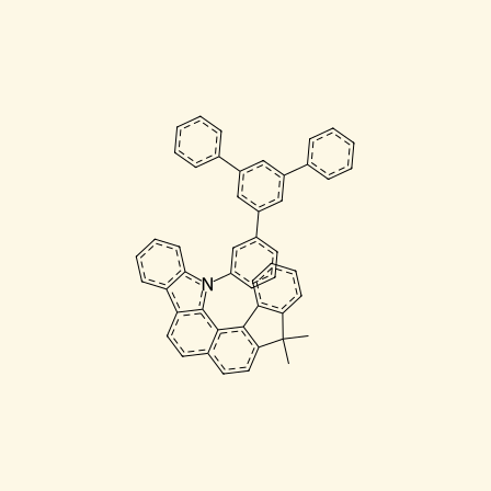 CC1(C)c2ccccc2-c2c1ccc1ccc3c4ccccc4n(-c4cccc(-c5cc(-c6ccccc6)cc(-c6ccccc6)c5)c4)c3c21